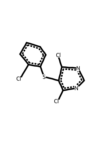 Clc1ccccc1Sc1c(Cl)ncnc1Cl